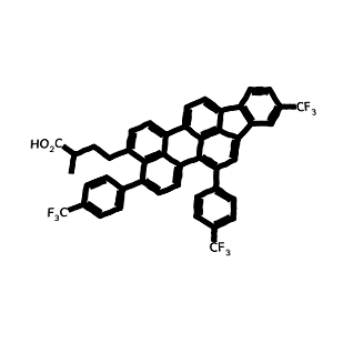 CC(CCc1ccc2c3ccc4c5c(cc(-c6ccc(C(F)(F)F)cc6)c(c6ccc(-c7ccc(C(F)(F)F)cc7)c1c26)c53)-c1cc(C(F)(F)F)ccc1-4)C(=O)O